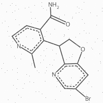 Cc1nccc(C(N)=O)c1C1COc2cc(Br)cnc21